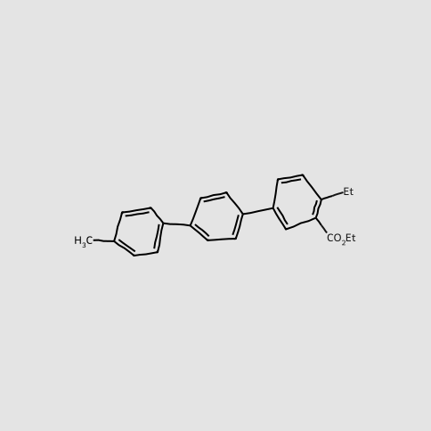 CCOC(=O)c1cc(-c2ccc(-c3ccc(C)cc3)cc2)ccc1CC